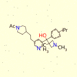 CC(=O)N1CCC(CCc2cncc(C(O)(c3ccc(C(C)C)cc3)C3(C)CN(C)C3)c2)CC1